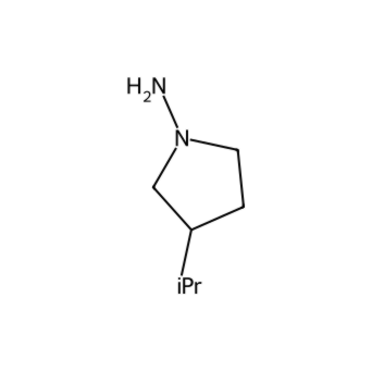 CC(C)C1CCN(N)C1